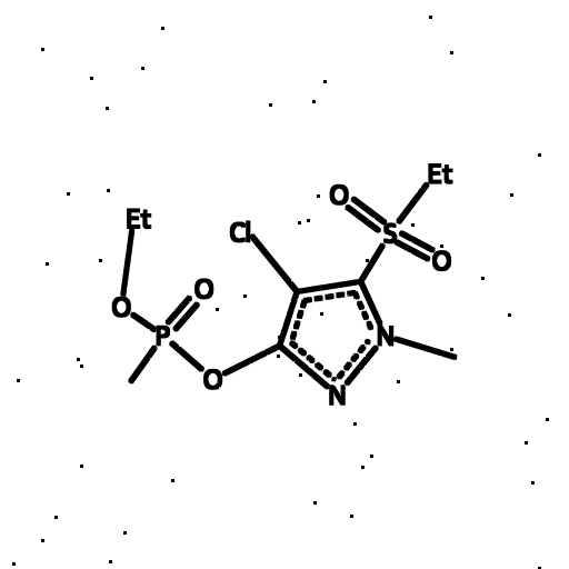 CCOP(C)(=O)Oc1nn(C)c(S(=O)(=O)CC)c1Cl